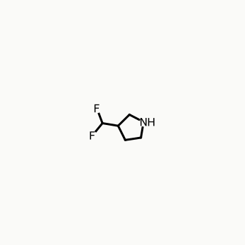 FC(F)C1CCNC1